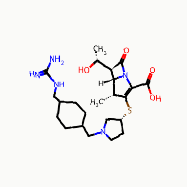 C[C@@H](O)[C@H]1C(=O)N2C(C(=O)O)=C(S[C@@H]3CCN(CC4CCC(CNC(=N)N)CC4)C3)[C@H](C)[C@H]12